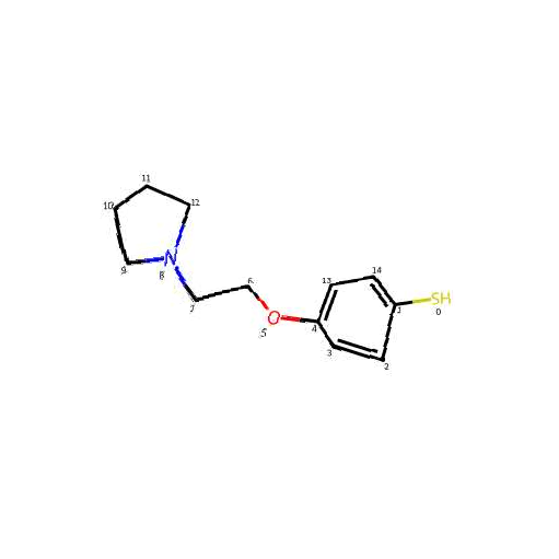 Sc1ccc(OCCN2CCCC2)cc1